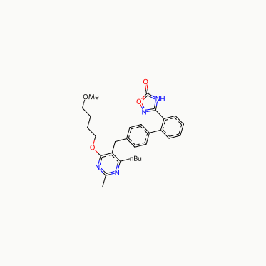 CCCCc1nc(C)nc(OCCCCOC)c1Cc1ccc(-c2ccccc2-c2noc(=O)[nH]2)cc1